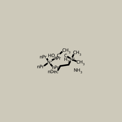 CC(=O)O.CCCCCCCCCCCC[N+](C)(C)C.CCC[N+](CCC)(CCC)CCC.N